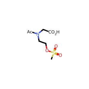 CC(=O)N(CCOS(C)(=O)=O)CC(=O)O